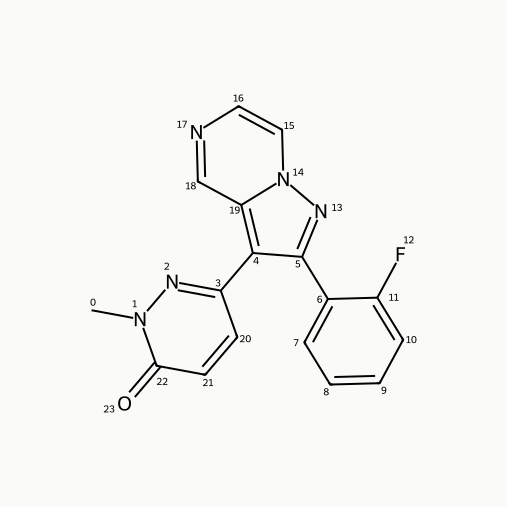 Cn1nc(-c2c(-c3ccccc3F)nn3ccncc23)ccc1=O